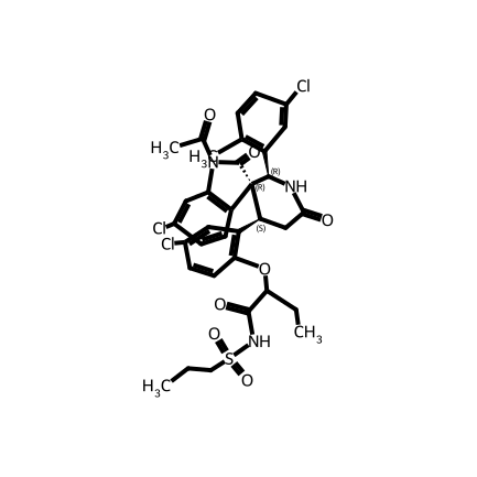 CCCS(=O)(=O)NC(=O)C(CC)Oc1ccc(Cl)cc1[C@@H]1CC(=O)N[C@H](c2cc(Cl)ccc2C)[C@@]12C(=O)N(C(C)=O)c1cc(Cl)ccc12